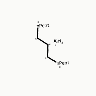 CCCCCCCCCCCCC.[AlH3]